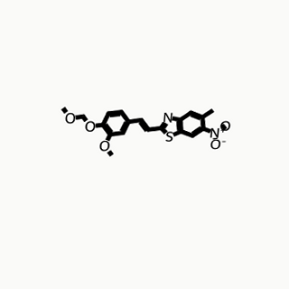 COCOc1ccc(C=Cc2nc3cc(C)c([N+](=O)[O-])cc3s2)cc1OC